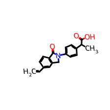 C=Cc1ccc2c(c1)CN(c1ccc(C(C)C(=O)O)cc1)C2=O